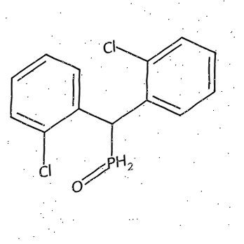 O=[PH2]C(c1ccccc1Cl)c1ccccc1Cl